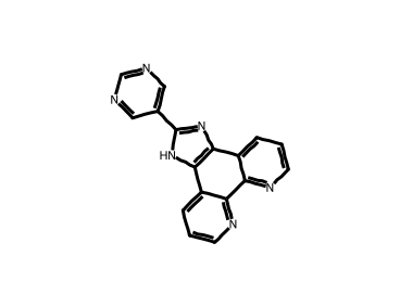 c1cnc2c(c1)c1nc(-c3cncnc3)[nH]c1c1cccnc12